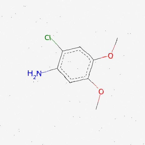 COc1cc(N)c(Cl)cc1OC